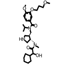 COCCCOc1cc(C(=O)N(C[C@@H]2CNC[C@H]2CN(C)C(=O)C(O)C2CCCCC2)C(C)C)ccc1OC